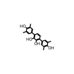 Cc1cc(-c2[c]cc(-c3cc(C)c(O)c(C)c3)c(O)c2O)cc(C)c1O